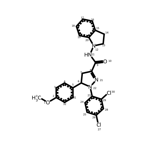 COc1ccc(C2CC(C(=O)NN3CCc4ccccc43)=NN2c2ccc(Cl)cc2Cl)cc1